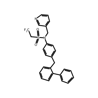 O=S(=O)(CC(F)(F)F)N(Cc1cccnc1)c1ccc(Cc2ccccc2-c2ccccc2)cc1